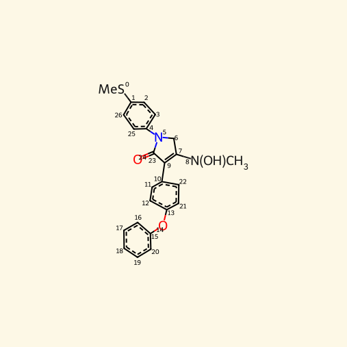 CSc1ccc(N2CC(N(C)O)=C(c3ccc(Oc4ccccc4)cc3)C2=O)cc1